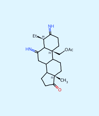 CC[C@H]1C(=N)CC[C@]2(COC(C)=O)C3CC[C@]4(C)C(=O)CCC4C3CC(=N)C12